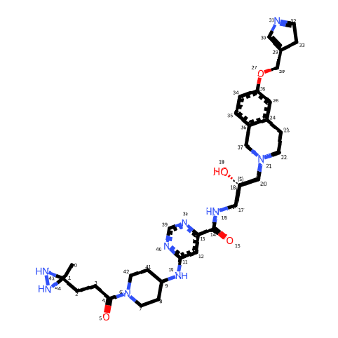 CC1(CCC(=O)N2CCC(Nc3cc(C(=O)NC[C@H](O)CN4CCc5cc(OCC6=CN=CC6)ccc5C4)ncn3)CC2)NN1